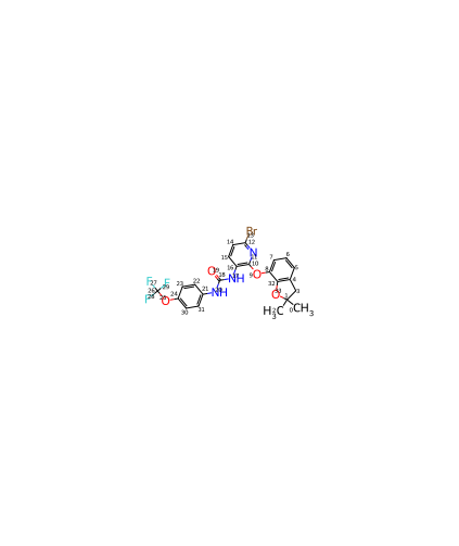 CC1(C)Cc2cccc(Oc3nc(Br)ccc3NC(=O)Nc3ccc(OC(F)(F)F)cc3)c2O1